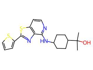 CC(C)(O)C1CCC(Nc2nccc3sc(-c4cccs4)nc23)CC1